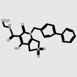 O=C(O)CNC(=O)c1c(O)c2c(n(Cc3ccc(-c4ccccc4)cc3)c1=O)CS(=O)(=O)C2